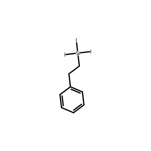 I[Si](I)(I)CCc1ccccc1